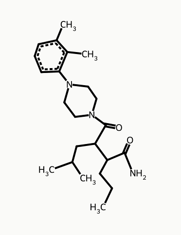 CCCC(C(N)=O)C(CC(C)C)C(=O)N1CCN(c2cccc(C)c2C)CC1